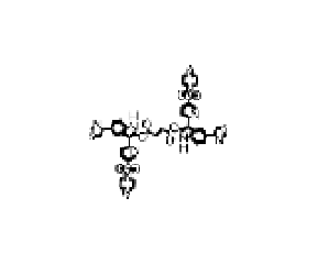 CN1CCN(S(=O)(=O)c2ccc(-c3c(OC(=O)/C=C/C(=O)Oc4[nH]c5ccc(-c6cscn6)cc5c4-c4ccc(S(=O)(=O)N5CCN(C)CC5)cn4)[nH]c4ccc(-c5cscn5)cc34)nc2)CC1